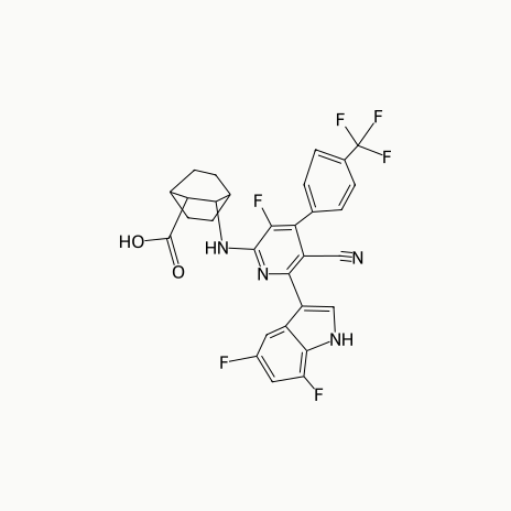 N#Cc1c(-c2c[nH]c3c(F)cc(F)cc23)nc(NC2C3CCC(CC3)C2C(=O)O)c(F)c1-c1ccc(C(F)(F)F)cc1